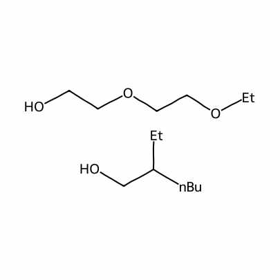 CCCCC(CC)CO.CCOCCOCCO